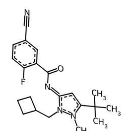 Cn1c(C(C)(C)C)c/c(=N\C(=O)c2cc(C#N)ccc2F)n1CC1CCC1